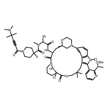 CCn1c(-c2cccnc2[C@H](C)OC)c2c3cc(ccc31)N1CCO[C@@](C)(CC(NC(=O)C(C(C)C)N(C)C(=O)C3(F)CCN(C(=O)C#CC(C)(C)N(C)C)CC3)C(=O)N3CCC[C@H](N3)C(=O)OCC(C)(C)C2)C1